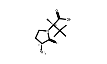 CC(C)(C)[C@@](C)(C(=O)O)N1CC[C@H](N)C1=O